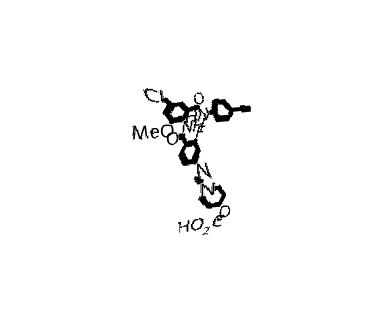 C#Cc1ccc(NC(=O)c2cc(Cl)cc(OC)c2NC(=O)c2ccc(N=CN3CCC(OC(=O)O)CC3)cc2F)cc1